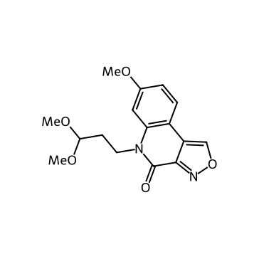 COc1ccc2c3conc3c(=O)n(CCC(OC)OC)c2c1